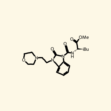 CC[C@H](C)[C@H](NC(=O)n1c(=O)n(CCN2CCOCC2)c2ccccc21)C(=O)OC